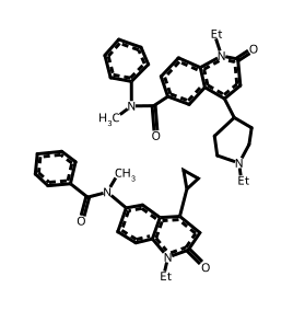 CCN1CCC(c2cc(=O)n(CC)c3ccc(C(=O)N(C)c4ccccc4)cc23)CC1.CCn1c(=O)cc(C2CC2)c2cc(N(C)C(=O)c3ccccc3)ccc21